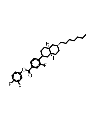 CCCCCCC[C@H]1CC[C@@H]2CC(c3ccc(C(=O)Oc4ccc(F)c(F)c4)cc3F)CC[C@H]2C1